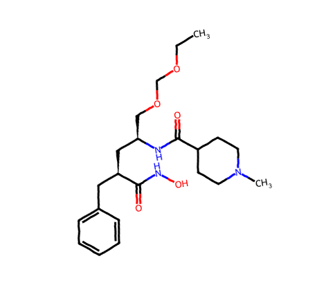 CCOCOC[C@H](C[C@H](Cc1ccccc1)C(=O)NO)NC(=O)C1CCN(C)CC1